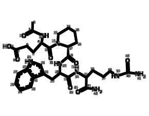 CC(=O)NC(CCC(=O)O)C(=O)N1CCCC[C@H]1C(=O)NC(Cc1c[nH]c2ccccc12)C(=O)NC(CCCNC(N)=O)C(N)=O